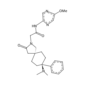 COc1cnc(NC(=O)CN2C[C@]3(CC[C@](c4ccccc4)(N(C)C)CC3)CC2=O)cn1